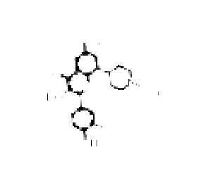 Cc1cc(C2CCN(C)CC2)c2oc(-c3ccc(O)c(Cl)c3)c(O)c(=O)c2c1